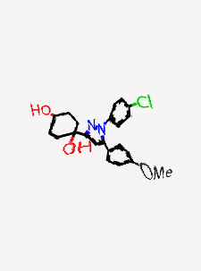 COc1ccc(-c2cc(C3(O)CCC(O)CC3)nn2-c2ccc(Cl)cc2)cc1